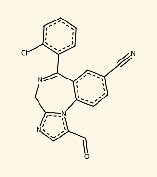 N#Cc1ccc2c(c1)C(c1ccccc1Cl)=NCc1ncc(C=O)n1-2